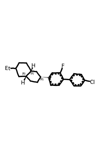 CCC1CC[C@@H]2C[C@H](c3ccc(-c4ccc(Cl)cc4)c(F)c3)CC[C@@H]2C1